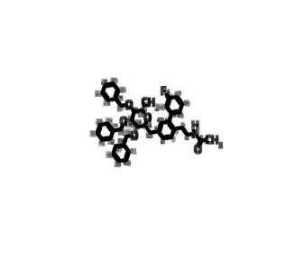 CC(=O)NCCc1ccc(C[C@@H]2O[C@@H](C)[C@H](OCc3ccccc3)[C@@H](OCc3ccccc3)[C@H]2OCc2ccccc2)cc1-c1cccc(F)c1